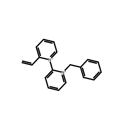 C=Cc1cccc[n+]1-c1cccc[n+]1Cc1ccccc1